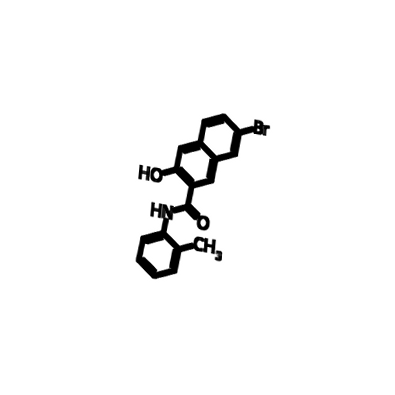 Cc1ccccc1NC(=O)c1cc2cc(Br)ccc2cc1O